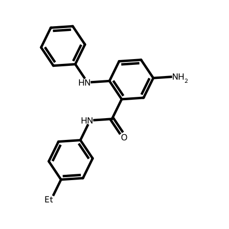 CCc1ccc(NC(=O)c2cc(N)ccc2Nc2ccccc2)cc1